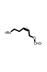 CCCCCC/C=C\CO[C]=O